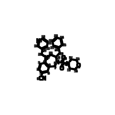 N#Cc1ccc2c(c1)CN(S(=O)(=O)N1CCOCC1)[C@H](Cc1ccccc1)CN2Cc1cccnc1